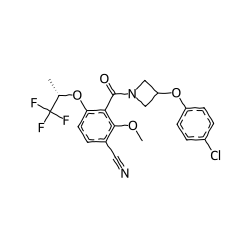 COc1c(C#N)ccc(O[C@@H](C)C(F)(F)F)c1C(=O)N1CC(Oc2ccc(Cl)cc2)C1